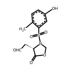 Cc1ccc(O)cc1S(=O)(=O)N1COC(=O)[C@@H]1CC=O